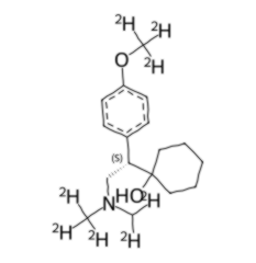 [2H]C([2H])N(C[C@H](c1ccc(OC([2H])([2H])[2H])cc1)C1(O)CCCCC1)C([2H])([2H])[2H]